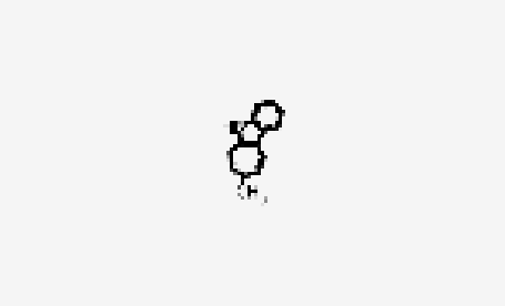 C[C@H]1C=CC2=C(C=C1)c1ccccc1B2